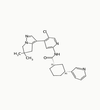 CC1(C)Cc2c(-c3cc(NC(=O)[C@H]4CCC[C@@H](c5cccnc5)C4)ncc3Cl)cnn2C1